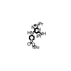 CC(C)Nc1cc(NC2CCN(C(=O)OC(C)(C)C)CC2)c2ncn(C(C)C)c2n1